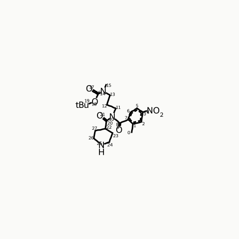 Cc1cc([N+](=O)[O-])ccc1C(=O)N(CCCN(C)C(=O)OC(C)(C)C)C(=O)C1CCNCC1